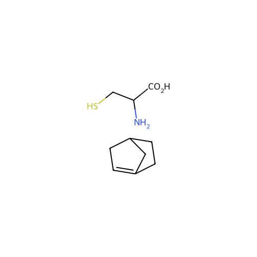 C1=C2CCC(C1)C2.NC(CS)C(=O)O